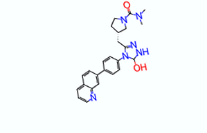 CN(C)C(=O)N1CC[C@@H](CC2=NNC(O)N2c2ccc(-c3ccc4cccnc4c3)cc2)C1